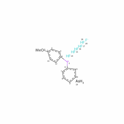 COc1ccc([I+]c2ccccc2)cc1.F.F.F.F.F.[AsH3].[F-]